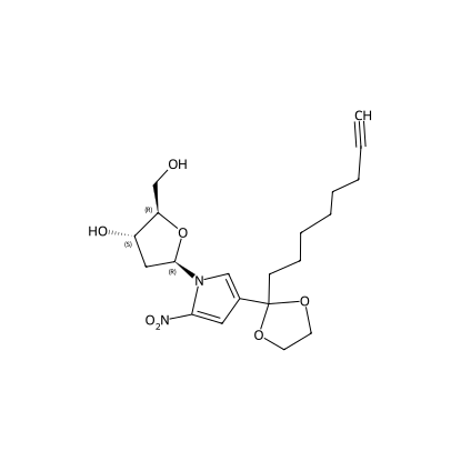 C#CCCCCCCC1(c2cc([N+](=O)[O-])n([C@H]3C[C@H](O)[C@@H](CO)O3)c2)OCCO1